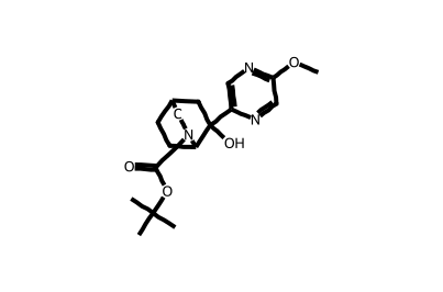 COc1cnc(C2(O)CC3CCC2N(C(=O)OC(C)(C)C)C3)cn1